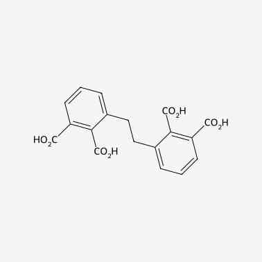 O=C(O)c1cccc(CCc2cccc(C(=O)O)c2C(=O)O)c1C(=O)O